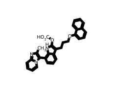 Cc1nc2ccccn2c1-c1cccc2c(CCCOc3cccc4ccccc34)c(OC(=O)O)[nH]c12